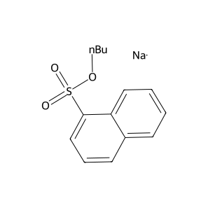 CCCCOS(=O)(=O)c1cccc2ccccc12.[Na]